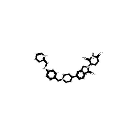 O=C1CCC(N2Cc3cc(C4CCN(Cc5ccc(OCC6=NC=CCC6)cc5)CC4)ccc3C2=O)C(=O)N1